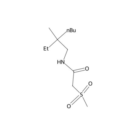 CCCCC(C)(CC)CNC(=O)CS(C)(=O)=O